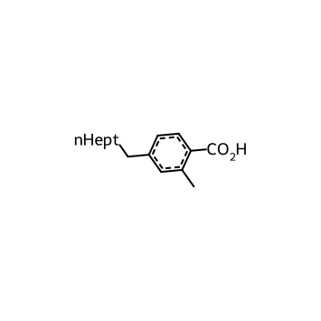 CCCCCCCCc1ccc(C(=O)O)c(C)c1